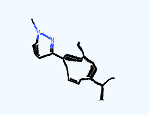 Cc1cc(C(C)C)ccc1-c1ccn(C)n1